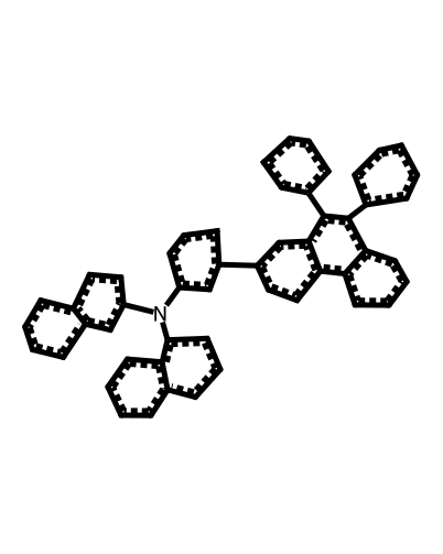 c1ccc(-c2c(-c3ccccc3)c3cc(-c4cccc(N(c5ccc6ccccc6c5)c5cccc6ccccc56)c4)ccc3c3ccccc23)cc1